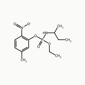 CCOP(=O)(NC(C)CC)Oc1cc(C)ccc1[N+](=O)[O-]